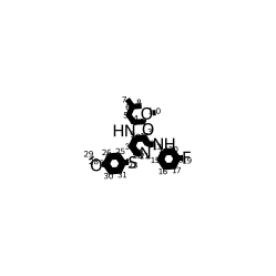 COC(=O)C(CC(C)C)Nc1cc(Nc2cccc(F)c2)nc(Sc2ccc(OC)cc2)c1